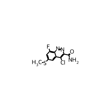 CSc1cc(F)c2nnc(C(N)=O)c(Cl)c2c1